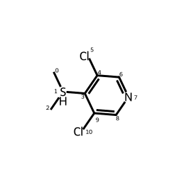 C[SH](C)c1c(Cl)cncc1Cl